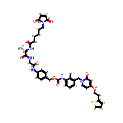 Cc1c(Cn2ccc(OCCc3cccs3)cc2=O)cccc1NC(=O)OCc1ccc(NC(=O)CNC(=O)[C@@H](NC(=O)CCCCCN2C(=O)C=CC2=O)C(C)C)cc1